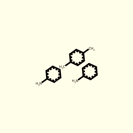 Cc1ccc(C)cc1.Nc1ccccc1.Nc1ccccc1